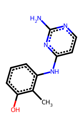 Cc1c(O)cccc1Nc1ccnc(N)n1